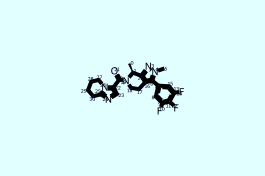 C[C@H]1c2nn(C)c(-c3cc(F)c(F)c(F)c3)c2CCN1C(=O)c1cnc2n1CCCC2